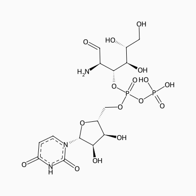 N[C@@H](C=O)[C@@H](OP(=O)(OC[C@H]1O[C@@H](n2ccc(=O)[nH]c2=O)[C@H](O)[C@@H]1O)OP(=O)(O)O)[C@H](O)[C@H](O)CO